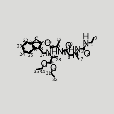 CCNC(=O)NN(C)CC(=O)NC(C)C(=O)N(Cc1csc2ccccc12)C(C)C(OCC)OCC